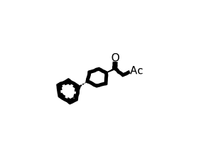 CC(=O)CC(=O)[C@H]1CC[C@H](c2ccccc2)CC1